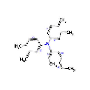 C=C/C=C\C(=C/C=C)N(C(/C=C\C=C/C)=C/C)C(/C=C\C=C)=C/C=C